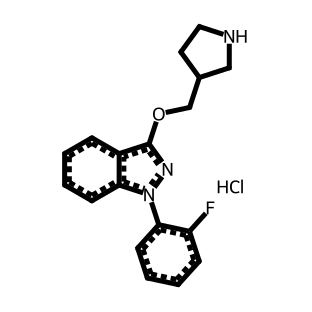 Cl.Fc1ccccc1-n1nc(OCC2CCNC2)c2ccccc21